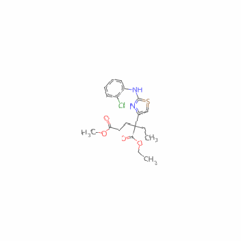 CCOC(=O)C(CC)(CCC(=O)OC)c1csc(Nc2ccccc2Cl)n1